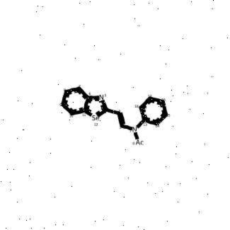 CC(=O)N(C=Cc1nc2ccccc2[se]1)c1ccccc1